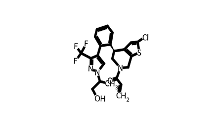 C=CC(=O)N1Cc2sc(Cl)cc2[C@H](c2ccccc2-c2cn(C(C)CO)nc2C(F)(F)F)C1